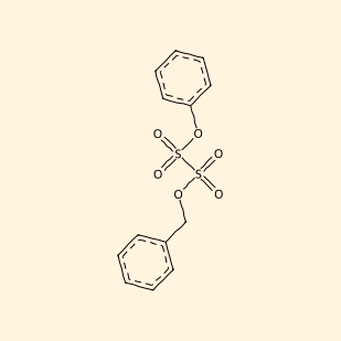 O=S(=O)(OCc1ccccc1)S(=O)(=O)Oc1ccccc1